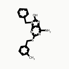 Cc1cccc(CSc2nc(N)c3nc(O)n(Cc4ccccc4)c3n2)c1